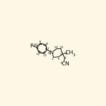 CC1(CC#N)CCN(c2ccc(F)cc2)CC1